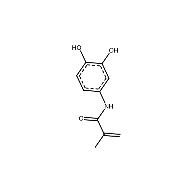 C=C(C)C(=O)Nc1ccc(O)c(O)c1